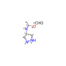 CC(=Nc1cn[nH]c1)OC=O